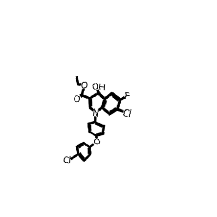 CCOC(=O)C1=CN(c2ccc(Oc3ccc(Cl)cc3)cc2)c2cc(Cl)c(F)cc2C1O